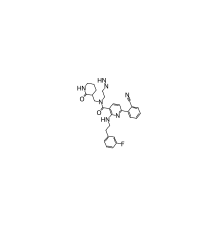 N#Cc1ccccc1-c1ccc(C(=O)N(CCN=N)CC2CCCNC2=O)c(NCCc2cccc(F)c2)n1